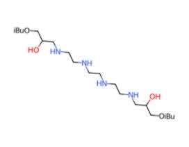 CC(C)COCC(O)CNCCNCCNCCNCC(O)COCC(C)C